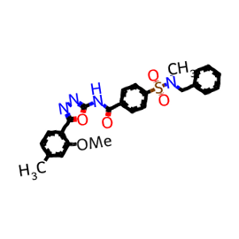 COc1cc(C)ccc1-c1nnc(NC(=O)c2ccc(S(=O)(=O)N(C)Cc3ccccc3)cc2)o1